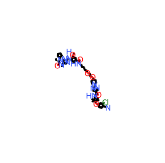 CC[C@@H]1C(=O)N(C)c2cnc(Nc3ccc(C(=O)NCCCCCOCCOC4CCN(c5ncc(C(=O)NC6C(C)(C)C(Oc7ccc(C#N)c(Cl)c7)C6(C)C)cn5)CC4)cc3OC)nc2N1C1CCCC1